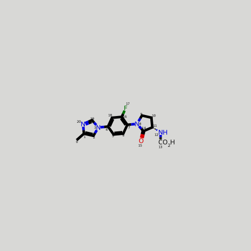 Cc1cn(-c2ccc(N3CC[C@H](NC(=O)O)C3=O)c(F)c2)cn1